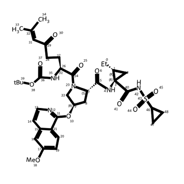 CC[C@@H]1C[C@]1(NC(=O)[C@@H]1C[C@@H](Oc2nccc3cc(OC)ccc23)CN1C(=O)[C@H](CCC(=O)C=C(C)C)NC(=O)OC(C)(C)C)C(=O)NS(=O)(=O)C1CC1